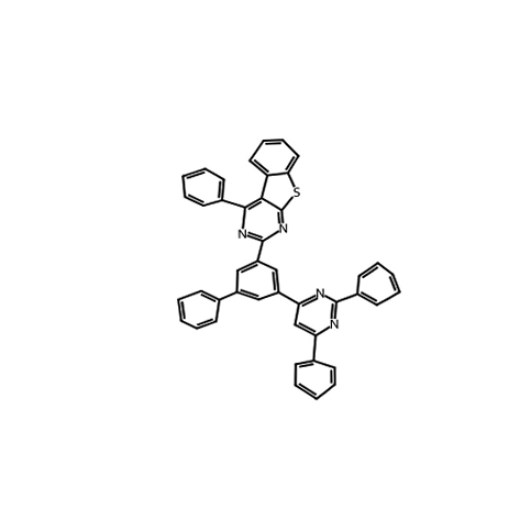 c1ccc(-c2cc(-c3cc(-c4ccccc4)nc(-c4ccccc4)n3)cc(-c3nc(-c4ccccc4)c4c(n3)sc3ccccc34)c2)cc1